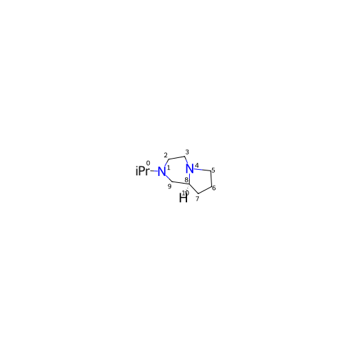 CC(C)N1CCN2CCC[C@H]2C1